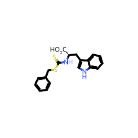 O=C(O)[C@H](Cc1c[nH]c2ccccc12)NC(=S)SCc1ccccc1